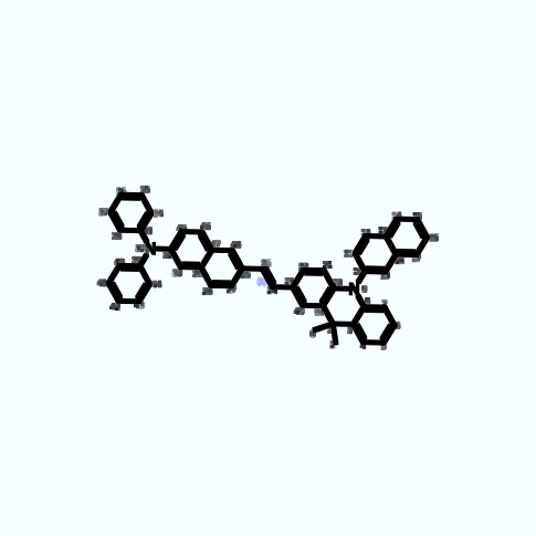 CC1(C)c2ccccc2N(c2ccc3ccccc3c2)c2ccc(/C=C/c3ccc4cc(N(c5ccccc5)c5ccccc5)ccc4c3)cc21